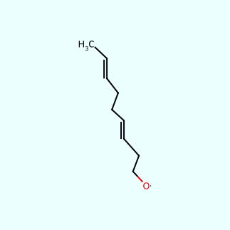 CC=CCCC=CCC[O]